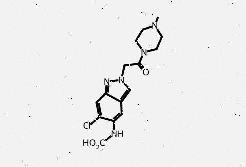 CN1CCN(C(=O)Cn2cc3cc(NC(=O)O)c(Cl)cc3n2)CC1